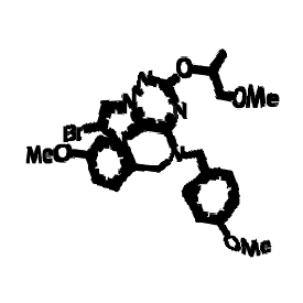 COCC(C)Oc1nc(N(Cc2ccc(OC)cc2)Cc2ccc(OC)cc2)c2nc(Br)cn2n1